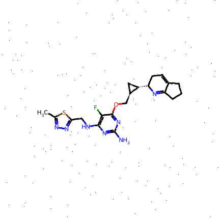 Cc1nnc(CNc2nc(N)nc(OC[C@H]3C[C@@H]3C3CC=C4CCCC4=N3)c2F)s1